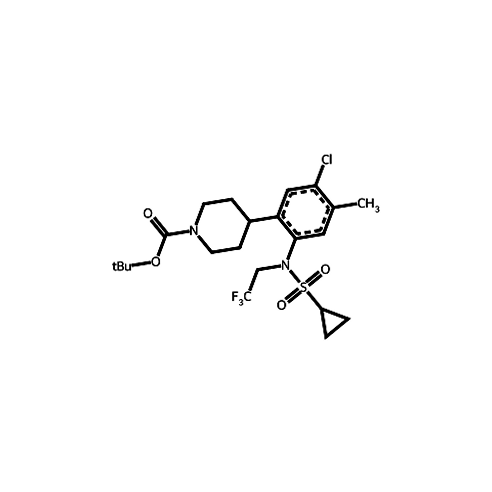 Cc1cc(N(CC(F)(F)F)S(=O)(=O)C2CC2)c(C2CCN(C(=O)OC(C)(C)C)CC2)cc1Cl